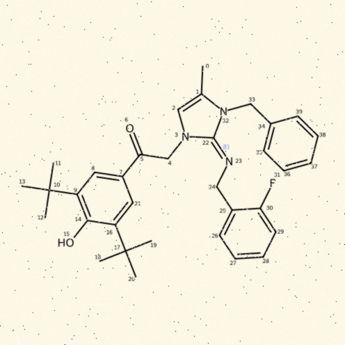 Cc1cn(CC(=O)c2cc(C(C)(C)C)c(O)c(C(C)(C)C)c2)/c(=N\Cc2ccccc2F)n1Cc1ccccc1